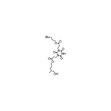 CCC(C)CCCOC(=O)CCn1c(=O)[nH]c(=O)n(CCC(=O)OCCCC(C)CO)c1=O